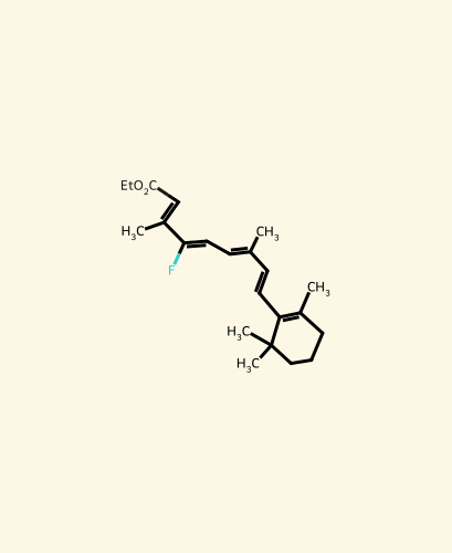 CCOC(=O)C=C(C)C(F)=CC=C(C)C=CC1=C(C)CCCC1(C)C